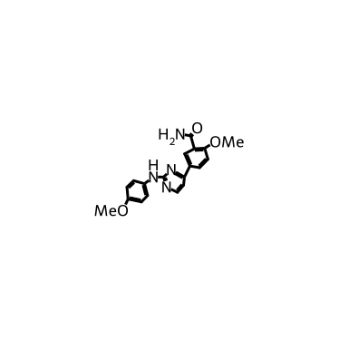 COc1ccc(Nc2nccc(-c3ccc(OC)c(C(N)=O)c3)n2)cc1